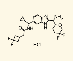 Cl.N[C@H](c1nc2ccc([C@H](NC(=O)CC3CC(F)(F)C3)C3CC3)cc2[nH]1)C1CCC(F)(F)CO1